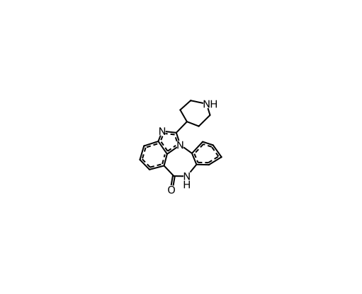 O=C1Nc2ccccc2-n2c(C3CCNCC3)nc3cccc1c32